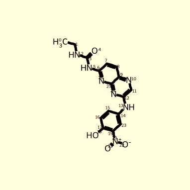 CCNC(=O)Nc1ccc2ncc(Nc3ccc(O)c([N+](=O)[O-])c3)nc2n1